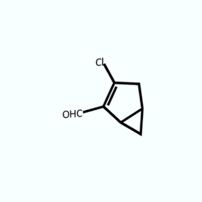 O=CC1=C(Cl)CC2CC12